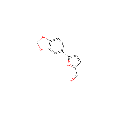 O=Cc1ccc(-c2ccc3c(c2)OCO3)o1